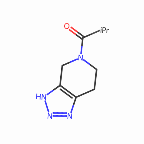 CC(C)C(=O)N1CCc2nn[nH]c2C1